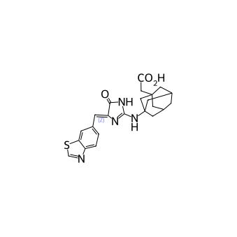 O=C(O)CC12CC3CC(C1)CC(NC1=N/C(=C\c4ccc5ncsc5c4)C(=O)N1)(C3)C2